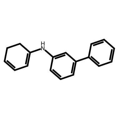 C1=CCCC(Nc2cccc(-c3ccccc3)c2)=C1